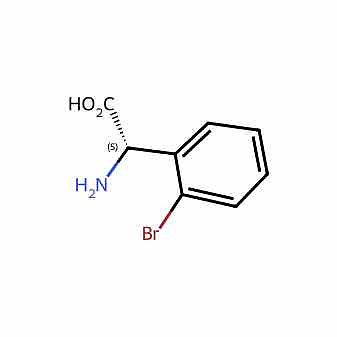 N[C@H](C(=O)O)c1ccccc1Br